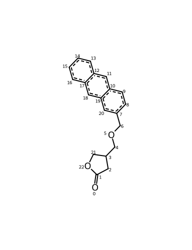 O=C1CC(COCc2ccc3cc4ccccc4cc3c2)CO1